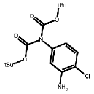 CC(C)(C)OC(=O)N(C(=O)OC(C)(C)C)c1ccc(Cl)c(N)c1